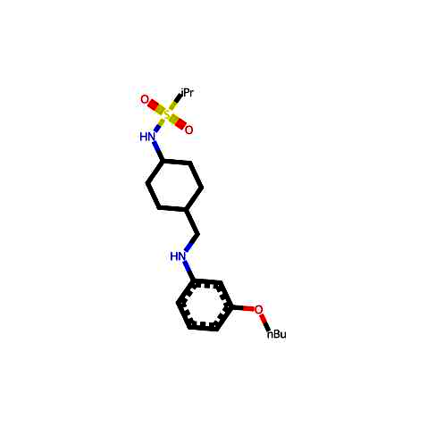 CCCCOc1cccc(NCC2CCC(NS(=O)(=O)C(C)C)CC2)c1